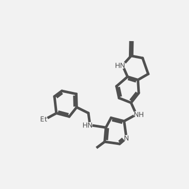 C=C1CCc2cc(Nc3cc(NCc4cccc(CC)c4)c(C)cn3)ccc2N1